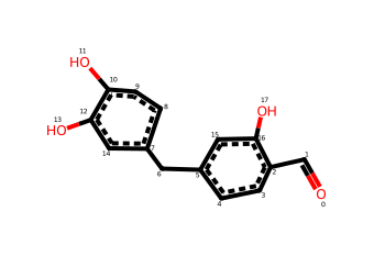 O=Cc1ccc(Cc2ccc(O)c(O)c2)cc1O